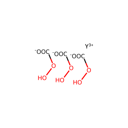 O=C([O-])OO.O=C([O-])OO.O=C([O-])OO.[Y+3]